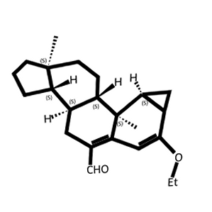 CCOC1=CC2=C(C=O)C[C@H]3[C@@H]4CCC[C@@]4(C)CC[C@@H]3[C@@]2(C)[C@H]2CC12